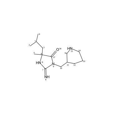 CC(C)CC1(C)NC(=N)N(CC2CCCNC2)C1=O